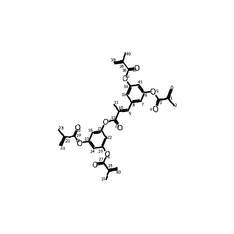 C=C(C)C(=O)Oc1cc(/C=C(\C)C(=O)Oc2cc(OC(=O)C(=C)C)cc(OC(=O)C(=C)C)c2)cc(OC(=O)C(=C)C)c1